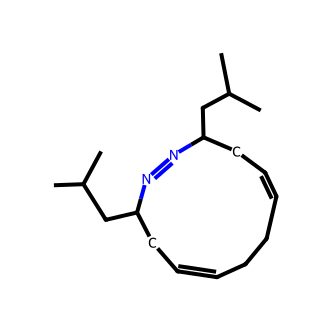 CC(C)CC1CC=CCCC=CCC(CC(C)C)N=N1